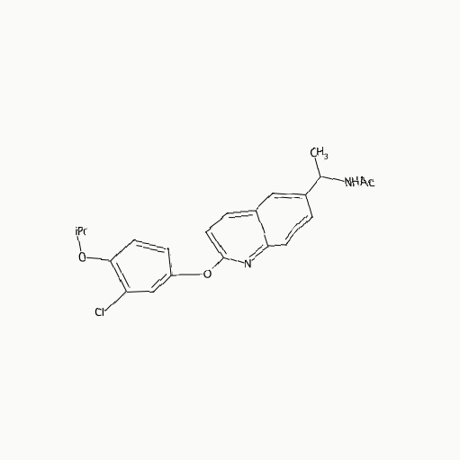 CC(=O)NC(C)c1ccc2nc(Oc3ccc(OC(C)C)c(Cl)c3)ccc2c1